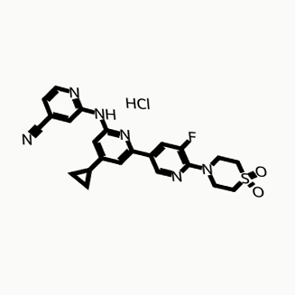 Cl.N#Cc1ccnc(Nc2cc(C3CC3)cc(-c3cnc(N4CCS(=O)(=O)CC4)c(F)c3)n2)c1